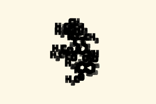 COc1nccc2c(S(=O)(=O)N[C@H](CCC(C)C)CN(CCCO[Si](C)(C)C(C)(C)C)C(=O)OC(C)(C)C)cccc12